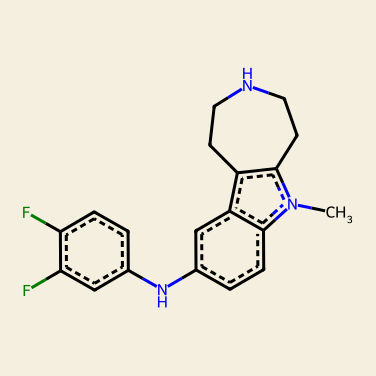 Cn1c2c(c3cc(Nc4ccc(F)c(F)c4)ccc31)CCNCC2